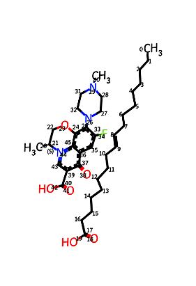 CCCCCCCCC=CCCCCCCCC(=O)O.C[C@H]1COc2c(N3CCN(C)CC3)c(F)cc3c(=O)c(C(=O)O)cn1c23